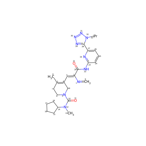 C=N/C(=C\C1=C(C)CCN(C(=O)N(C)C2CCCC2)C1)C(=O)Nc1cccc(-c2nnnn2C(C)C)n1